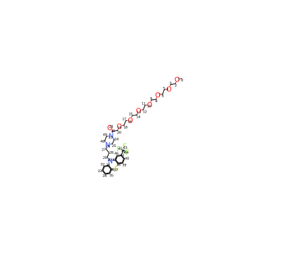 COCCOCCOCCOCCOCCOCCOCC(=O)N1CCN(CCCN2c3ccccc3Sc3ccc(C(F)(F)F)cc32)CC1